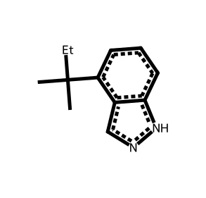 CCC(C)(C)c1cccc2[nH]ncc12